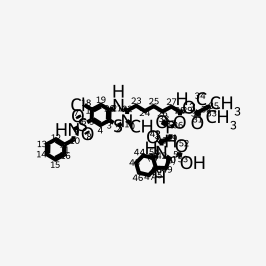 CN1Sc2cc(S(=O)(=O)NCc3ccccc3)c(Cl)cc2NC1CCCCCC(OC(=O)C(C)(C)C)O[PH](=O)CC(=O)N1[C@@H]2CCCC[C@@H]2C[C@H]1C(=O)O